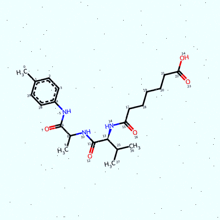 Cc1ccc(NC(=O)C(C)NC(=O)[C@@H](NC(=O)CCCCCC(=O)O)C(C)C)cc1